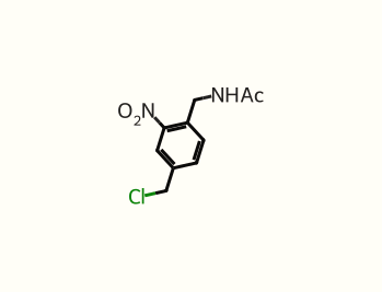 CC(=O)NCc1ccc(CCl)cc1[N+](=O)[O-]